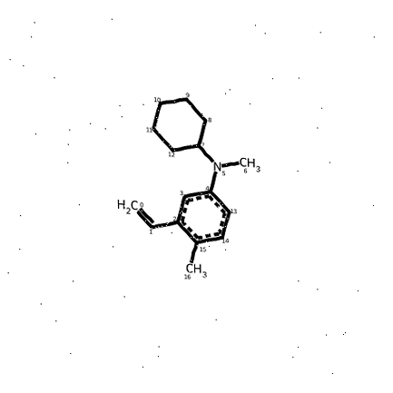 C=Cc1cc(N(C)C2CCCCC2)ccc1C